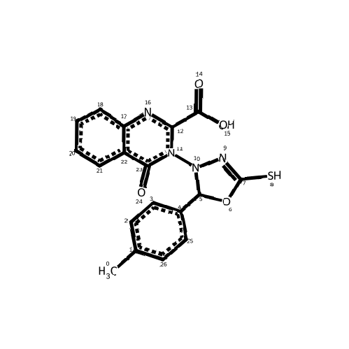 Cc1ccc(C2OC(S)=NN2n2c(C(=O)O)nc3ccccc3c2=O)cc1